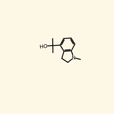 CN1CCc2c1cccc2C(C)(C)O